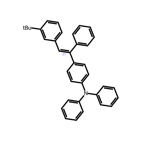 CC(C)(C)c1cccc(/C=C(\c2ccccc2)c2ccc(N(c3ccccc3)c3ccccc3)cc2)c1